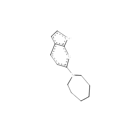 c1cc2ccc(N3CCCCCC3)nc2[nH]1